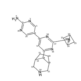 Nc1ncc(-c2cc(C3C4CCC3CNC4)nc(N3CC4CC3C4)n2)cn1